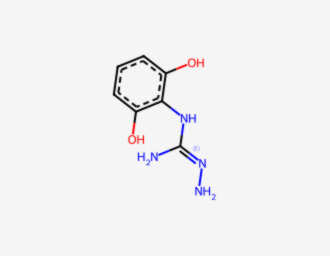 N/N=C(\N)Nc1c(O)cccc1O